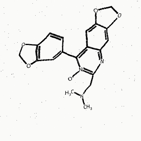 CN(C)Cc1nc2cc3c(cc2c(-c2ccc4c(c2)OCO4)[n+]1[O-])OCO3